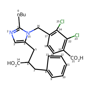 CCCCc1ncc(CC(Cc2ccccc2)C(=O)O)n1Cc1ccc(C(=O)O)c(Cl)c1Cl